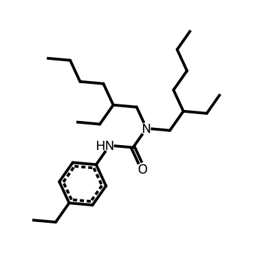 CCCCC(CC)CN(CC(CC)CCCC)C(=O)Nc1ccc(CC)cc1